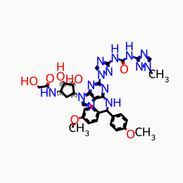 COc1ccc(C(Nc2nc(-n3cnc(NC(=O)Nc4ncn(C)n4)n3)nc3c2ncn3[C@@H]2C[C@H](NC(=O)CO)[C@@H](O)[C@H]2O)c2ccc(OC)cc2)cc1